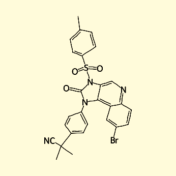 Cc1ccc(S(=O)(=O)n2c(=O)n(-c3ccc(C(C)(C)C#N)cc3)c3c4cc(Br)ccc4ncc32)cc1